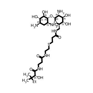 CCC(C)(C)[C@@H](O)C(=O)NCCC(=O)NCCSCCC(=O)NC[C@H]1O[C@H](O[C@H]2[C@H](O)[C@@H](O)[C@H](N)C[C@@H]2N)[C@H](N)[C@@H](O)[C@@H]1O